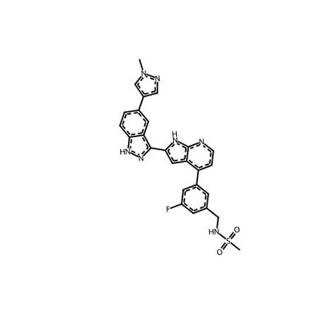 Cn1cc(-c2ccc3[nH]nc(-c4cc5c(-c6cc(F)cc(CNS(C)(=O)=O)c6)ccnc5[nH]4)c3c2)cn1